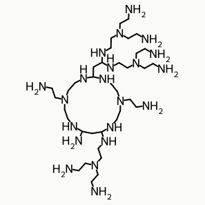 NCCN(CCN)CCNC1CC(N)NCCN(CCN)CCNC(CC(NCCN(CCN)CCN)NCCN(CCN)CCN)NCCN(CCN)CCN1